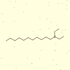 CCCCCCCCCCCB(CC)CC